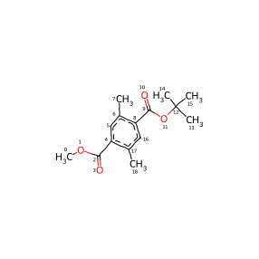 COC(=O)c1cc(C)c(C(=O)OC(C)(C)C)cc1C